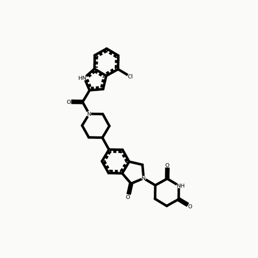 O=C1CCC(N2Cc3cc(C4CCN(C(=O)c5cc6c(Cl)cccc6[nH]5)CC4)ccc3C2=O)C(=O)N1